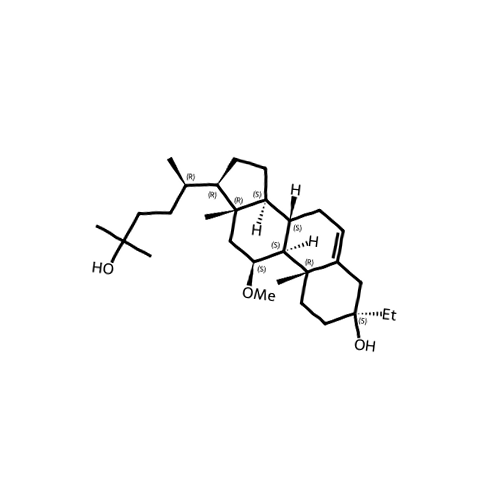 CC[C@]1(O)CC[C@@]2(C)C(=CC[C@@H]3[C@@H]2[C@@H](OC)C[C@]2(C)[C@@H]([C@H](C)CCC(C)(C)O)CC[C@@H]32)C1